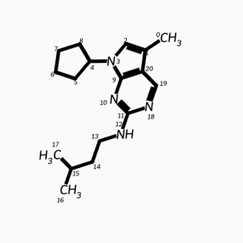 Cc1cn(C2CCCC2)c2nc(NCCC(C)C)ncc12